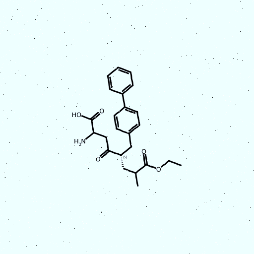 CCOC(=O)C(C)C[C@@H](Cc1ccc(-c2ccccc2)cc1)C(=O)CC(N)C(=O)O